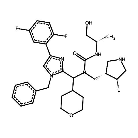 C[C@@H](CO)NC(=O)N(C[C@@H]1CNC[C@@H]1F)C(c1nc(-c2cc(F)ccc2F)cn1Cc1ccccc1)C1CCOCC1